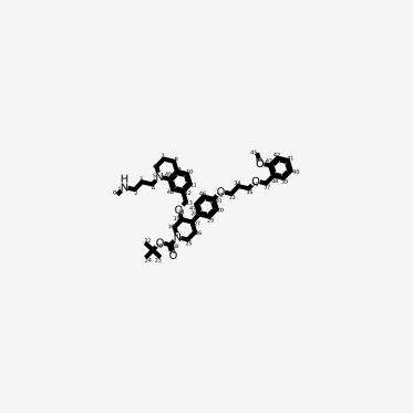 CNCCCN1CCCc2ccc(COC3CN(C(=O)OC(C)(C)C)CCC3c3ccc(OCCCOCc4ccccc4OC)cc3)cc21